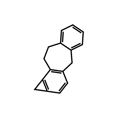 c1ccc2c(c1)CCc1c(ccc3c1C3)C2